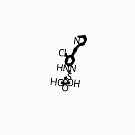 O=P(O)(O)CSc1nc2cc(C#Cc3ccccn3)c(Cl)cc2[nH]1